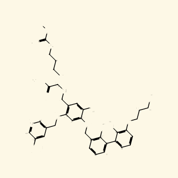 COC(=O)[C@H](CCCCNC(=O)OC(C)(C)C)NCc1cc(Cl)c(OCc2cccc(-c3cccc(OCCCCl)c3C)c2C)cc1OCc1cncc(C(=O)O)c1